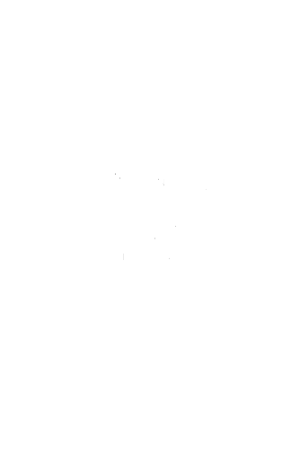 Cc1cccc(C(c2ncc[nH]2)C2(O)C3CC4CC(C3)CC2C4)c1